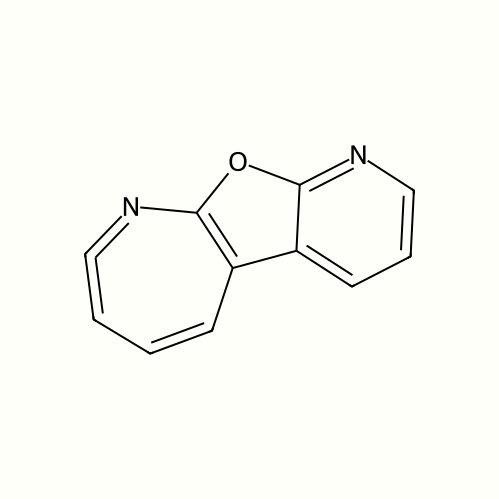 C1=CC=Cc2c(oc3ncccc23)N=1